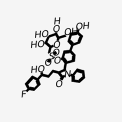 O=C1C(CCC(O)c2ccc(F)cc2)C(c2ccc(-c3ccc(O)cc3)cc2OS(=O)(=O)CC2OC(CO)C(O)C(O)C2O)N1c1ccccc1